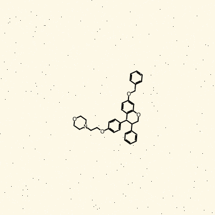 c1ccc(COc2ccc3c(c2)OCC(c2ccccc2)C3c2ccc(OCCN3CCOCC3)cc2)cc1